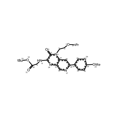 CCCOCCn1c(=O)c(NCC(=O)OC(C)(C)C)nc2cnc(-c3ccc(OC)nc3)cc21